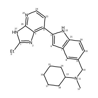 CCc1nc2c(-c3cc4cc(CN(C)C5CCCCC5)ccc4[nH]3)ccnc2[nH]1